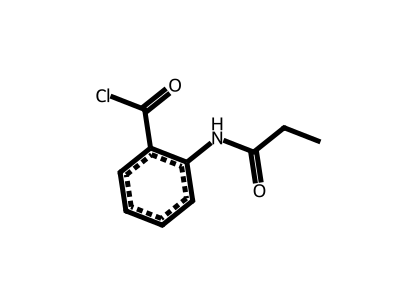 CCC(=O)Nc1ccccc1C(=O)Cl